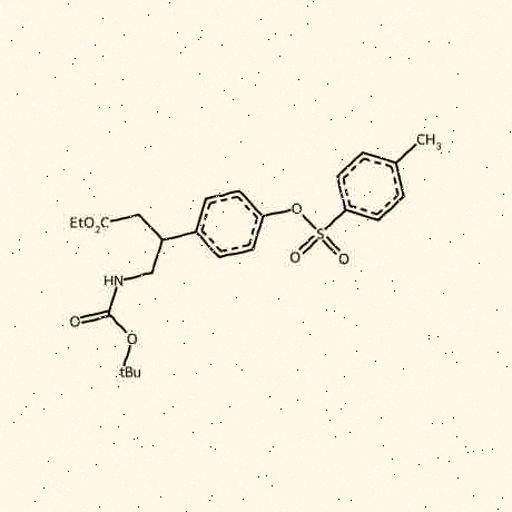 CCOC(=O)CC(CNC(=O)OC(C)(C)C)c1ccc(OS(=O)(=O)c2ccc(C)cc2)cc1